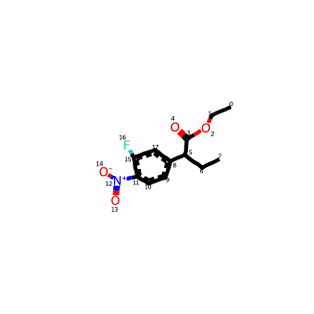 CCOC(=O)C(CC)c1ccc([N+](=O)[O-])c(F)c1